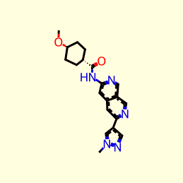 CO[C@H]1CC[C@H](C(=O)Nc2cc3cc(-c4cnn(C)c4)ncc3cn2)CC1